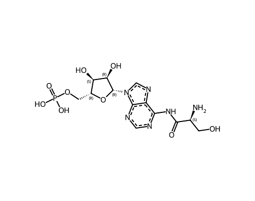 N[C@@H](CO)C(=O)Nc1ncnc2c1ncn2[C@@H]1O[C@H](COP(=O)(O)O)[C@@H](O)[C@H]1O